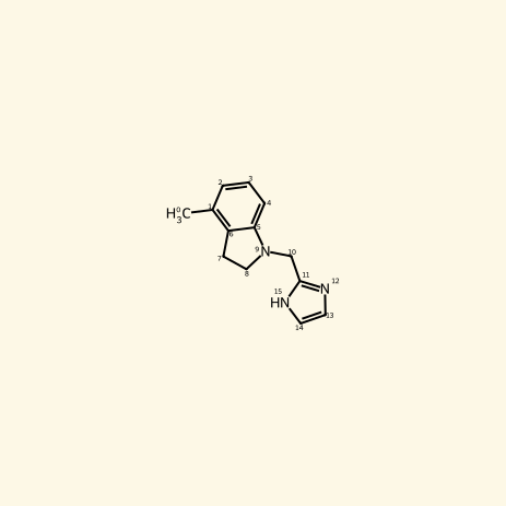 Cc1cccc2c1CCN2Cc1ncc[nH]1